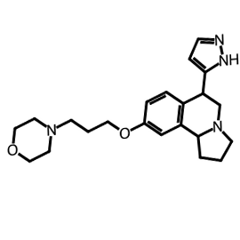 c1cc(C2CN3CCCC3c3cc(OCCCN4CCOCC4)ccc32)[nH]n1